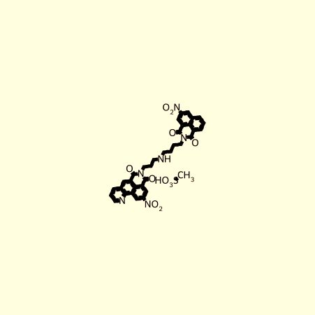 CS(=O)(=O)O.O=C1c2cccc3cc([N+](=O)[O-])cc(c23)C(=O)N1CCCCNCCCN1C(=O)c2cc([N+](=O)[O-])cc3c2c(cc2cccnc23)C1=O